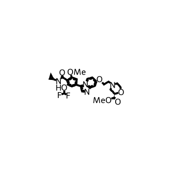 COC(=O)[C@@H]1CN(CCOc2ccn3c(-c4cc(OC)c(C(=O)NC5CC5)c(OC(F)F)c4)cnc3c2)CCO1